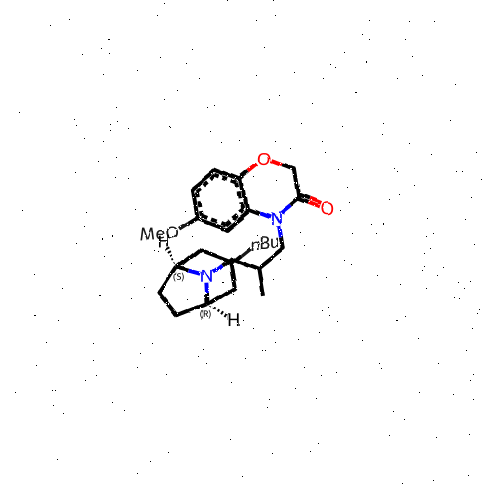 CCCCC1C[C@H]2CC[C@@H](C1)N2CC(C)CN1C(=O)COc2ccc(OC)cc21